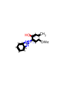 C=C/C=C(O)\C(=C/COC)n1n2c3ccccc3n12